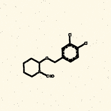 O=[C]N1CCCCC1OCc1ccc(Cl)c(Cl)c1